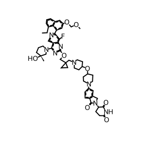 CCc1cccc2cc(OCOC)cc(-c3ncc4c(N5CCC[C@@](C)(O)C5)nc(OCC5(CN6CCC(OC7CCN(c8ccc9c(c8)CN(C8CCC(=O)NC8=O)C9=O)CC7)CC6)CC5)nc4c3F)c12